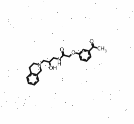 CC(=O)c1cccc(OCC(=O)NCC(O)CN2CCc3ccccc3C2)c1